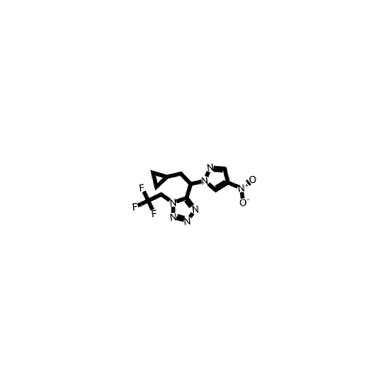 O=[N+]([O-])c1cnn(C(CC2CC2)c2nnnn2CC(F)(F)F)c1